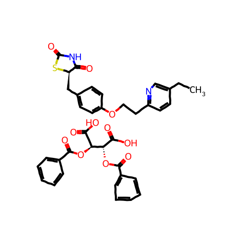 CCc1ccc(CCOc2ccc(C[C@H]3SC(=O)NC3=O)cc2)nc1.O=C(O[C@@H](C(=O)O)[C@@H](OC(=O)c1ccccc1)C(=O)O)c1ccccc1